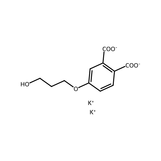 O=C([O-])c1ccc(OCCCO)cc1C(=O)[O-].[K+].[K+]